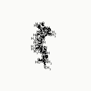 CSCC[C@H](N)C(=O)N[C@@H](CCC(=O)O)C(=O)N1CCC[C@H]1C(=O)N[C@@H](Cc1c[nH]cn1)C(=O)N[C@H](C(=O)N[C@H](C(=O)N[C@@H](C)C(=O)N[C@@H](CCC(N)=O)C(=O)N[C@@H](C)C(=O)NCC(=O)N[C@H](C(=O)N1CCC[C@H]1C(=O)N[C@@H](CCC(N)=O)C(=O)N[C@@H](Cc1c[nH]cn1)C(=O)N[C@@H](CC(=O)O)C(=O)O)C(C)C)C(C)C)[C@@H](C)O